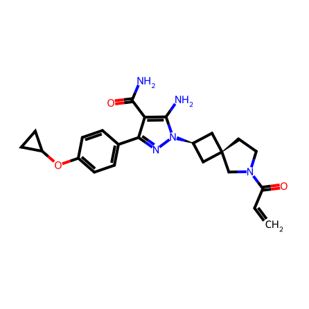 C=CC(=O)N1CC[C@]2(C1)C[C@H](n1nc(-c3ccc(OC4CC4)cc3)c(C(N)=O)c1N)C2